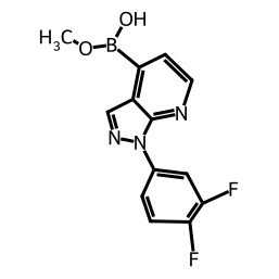 COB(O)c1ccnc2c1cnn2-c1ccc(F)c(F)c1